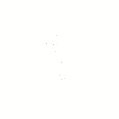 COc1cc(N)c(Cl)cc1C(=O)NCC1CCN(CC[C@@H](NC(=O)O)c2ccc(F)cc2)CC1